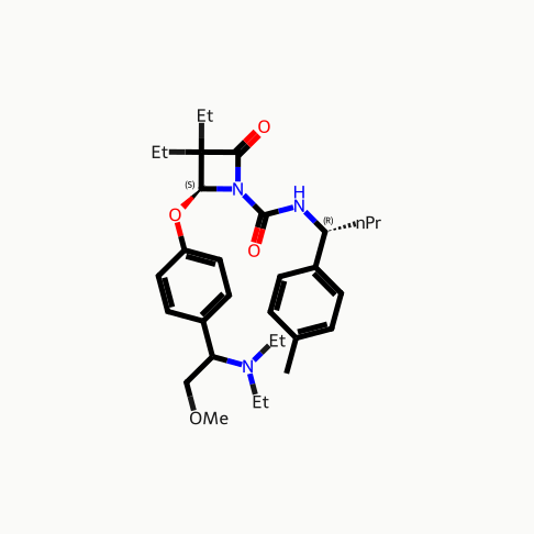 CCC[C@@H](NC(=O)N1C(=O)C(CC)(CC)[C@@H]1Oc1ccc(C(COC)N(CC)CC)cc1)c1ccc(C)cc1